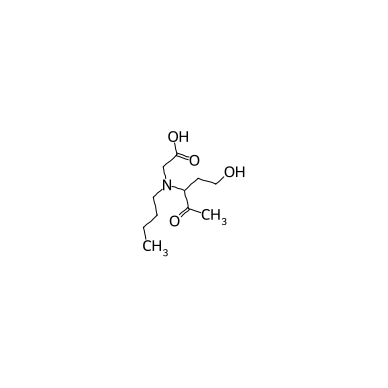 CCCCN(CC(=O)O)C(CCO)C(C)=O